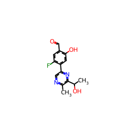 Cc1ncc(-c2cc(O)c(C=O)cc2F)nc1C(C)O